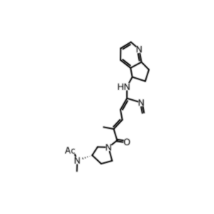 C=N/C(=C\C=C(/C)C(=O)N1CC[C@H](N(C)C(C)=O)C1)NC1CCc2ncccc21